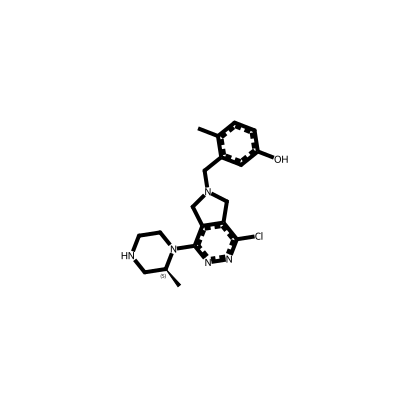 Cc1ccc(O)cc1CN1Cc2c(Cl)nnc(N3CCNC[C@@H]3C)c2C1